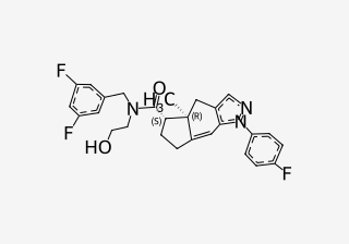 C[C@]12Cc3cnn(-c4ccc(F)cc4)c3C=C1CC[C@@H]2C(=O)N(CCO)Cc1cc(F)cc(F)c1